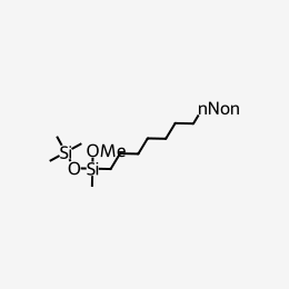 CCCCCCCCCCCCCCCC[Si](C)(OC)O[Si](C)(C)C